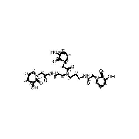 O=C(Cn1cccc(O)c1=O)NCCCN(CCCNC(=O)Cn1cccc(O)c1=O)C(=O)Cn1cccc(O)c1=O